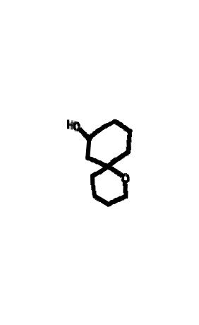 OC1CCCC2(CCCCO2)C1